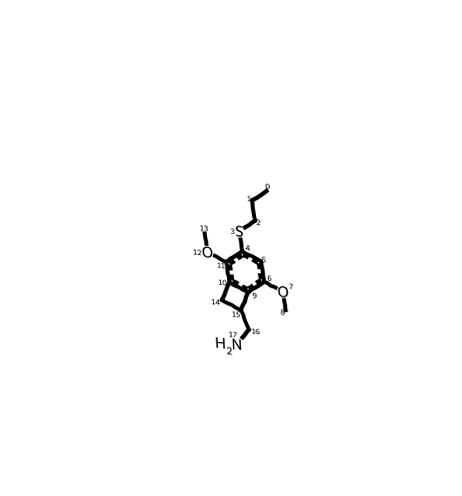 CCCSc1cc(OC)c2c(c1OC)CC2CN